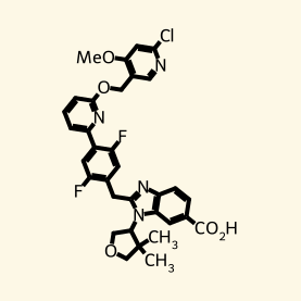 COc1cc(Cl)ncc1COc1cccc(-c2cc(F)c(Cc3nc4ccc(C(=O)O)cc4n3C3COCC3(C)C)cc2F)n1